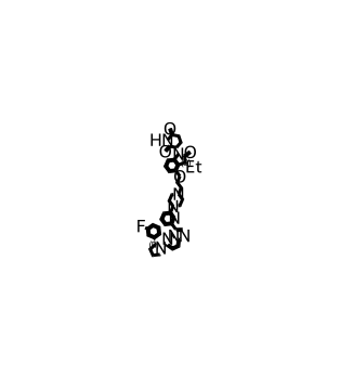 CC[C@@H]1C(=O)N(C2CCC(=O)NC2=O)c2cccc(OCCN3CCN(c4cccc(-c5cnc6ccc(N7CCC[C@@H]7c7cccc(F)c7)nn56)n4)CC3)c21